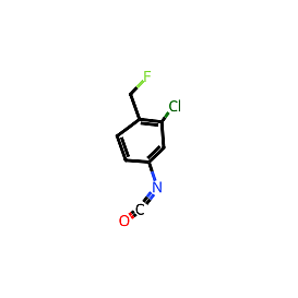 O=C=Nc1ccc(CF)c(Cl)c1